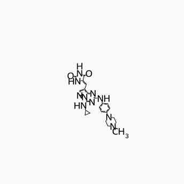 CN1CCN(c2ccc(Nc3nc(NC4CC4)n4ncc(/C=C5\NC(=O)NC5=O)c4n3)cc2)CC1